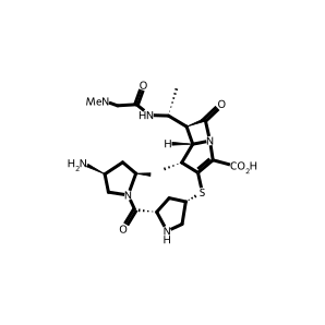 CNCC(=O)N[C@H](C)[C@H]1C(=O)N2C(C(=O)O)=C(S[C@@H]3CN[C@H](C(=O)N4C[C@@H](N)C[C@H]4C)C3)[C@H](C)[C@H]12